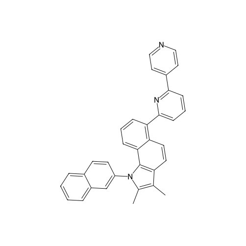 Cc1c(C)n(-c2ccc3ccccc3c2)c2c1ccc1c(-c3cccc(-c4ccncc4)n3)cccc12